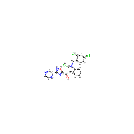 O=C(c1nc(-c2cnccn2)no1)C1c2ccccc2N(Cc2ccc(Cl)cc2Cl)C1Cl